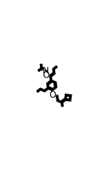 CC/C=C(\ON=C(C)C)c1ccc(OCCC(C)=C2CCC2)c(CCC)c1